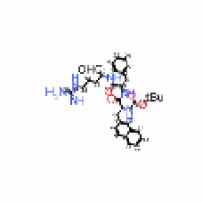 CC(C)(C)OC(=O)N[C@@H](Cc1ccc2ccccc2c1)C(=O)N[C@@H](Cc1ccccc1)C(=O)N[C@H](C=O)CCCNC(=N)N